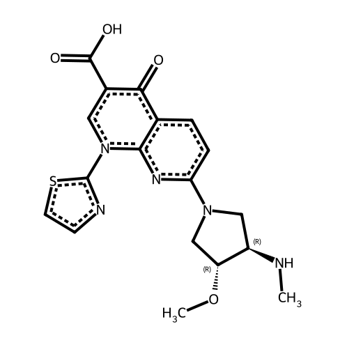 CN[C@@H]1CN(c2ccc3c(=O)c(C(=O)O)cn(-c4nccs4)c3n2)C[C@H]1OC